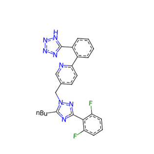 CCCCc1nc(-c2c(F)cccc2F)nn1Cc1ccc(-c2ccccc2-c2nnn[nH]2)nc1